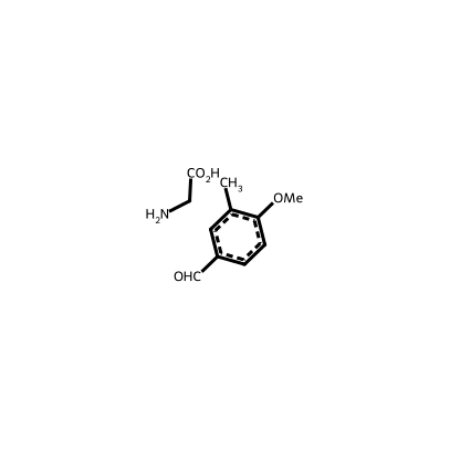 COc1ccc(C=O)cc1C.NCC(=O)O